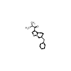 CC(C)C(=O)c1cnn2cc(Cc3ccccc3)ccc12